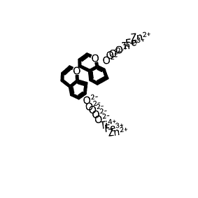 C1=COc2ccccc2C1.C1=COc2ccccc2C1.[Fe+3].[Fe+3].[O-2].[O-2].[O-2].[O-2].[O-2].[O-2].[O-2].[O-2].[O-2].[Ti+4].[Ti+4].[Zn+2].[Zn+2]